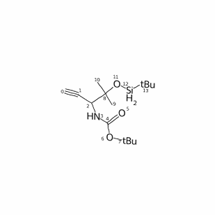 C#CC(NC(=O)OC(C)(C)C)C(C)(C)O[SiH2]C(C)(C)C